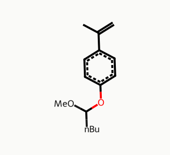 C=C(C)c1ccc(OC(CCCC)OC)cc1